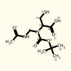 CC(=O)NCN(C(=O)OC(C)(C)C)C(CS)C(=O)O